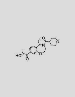 CCC1c2ccc(C(=O)NO)cc2OCCN1C(=O)C1CCOCC1